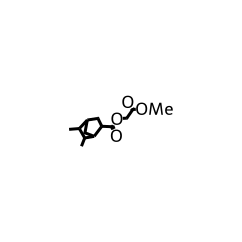 COC(=O)COC(=O)C1CC2CC1C(C)C2C